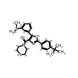 CN(C)c1cccc(-c2oc(-c3ccc(C(C)(C)C)cc3)nc2C(=O)N2CCSCC2)c1